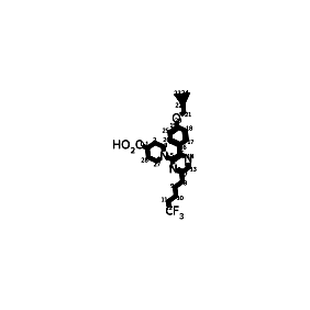 O=C(O)C1CCN(c2nc(CCCCC(F)(F)F)cnc2-c2ccc(OCC3CC3)cc2)CC1